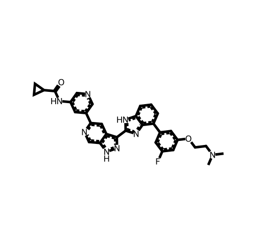 CN(C)CCOc1cc(F)cc(-c2cccc3[nH]c(-c4n[nH]c5cnc(-c6cncc(NC(=O)C7CC7)c6)cc45)nc23)c1